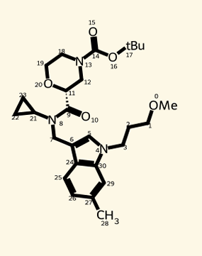 COCCCn1cc(CN(C(=O)[C@H]2CN(C(=O)OC(C)(C)C)CCO2)C2CC2)c2ccc(C)cc21